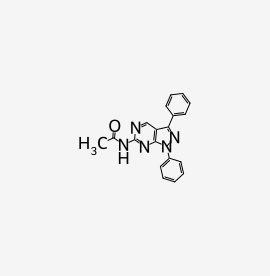 CC(=O)Nc1ncc2c(-c3ccccc3)nn(-c3ccccc3)c2n1